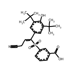 CC(C)(C)c1cc(C(=CCC#N)S(=O)(=O)c2cccc(C(=O)O)c2)cc(C(C)(C)C)c1O